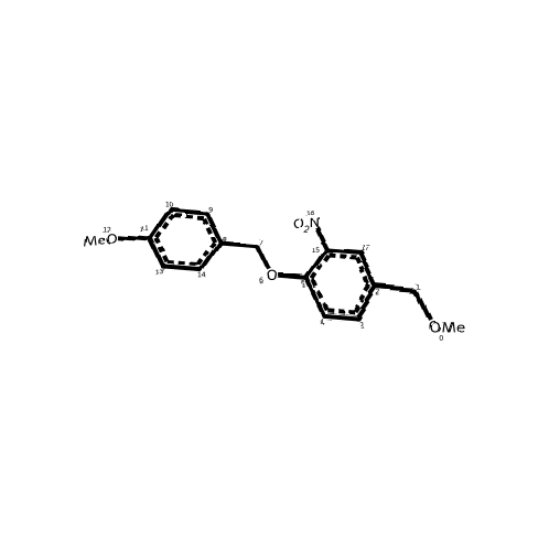 COCc1ccc(OCc2ccc(OC)cc2)c([N+](=O)[O-])c1